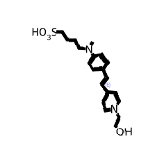 CN(CCCCS(=O)(=O)O)c1ccc(/C=C/C2=CCN(CCO)C=C2)cc1